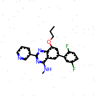 CCCOc1cc(-c2cc(F)ccc2F)cc2c(NC)nc(-c3cccnc3)nc12